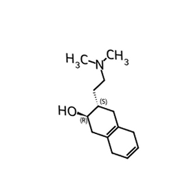 CN(C)CC[C@@H]1CC2=C(CC=CC2)C[C@H]1O